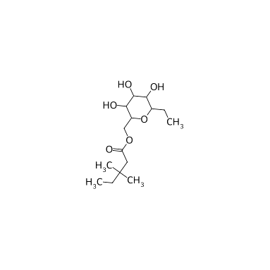 CCC1OC(COC(=O)CC(C)(C)CC)C(O)C(O)C1O